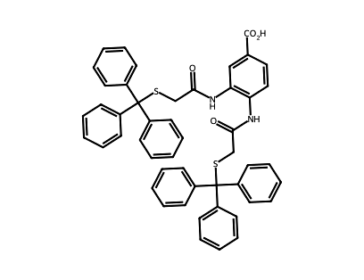 O=C(CSC(c1ccccc1)(c1ccccc1)c1ccccc1)Nc1ccc(C(=O)O)cc1NC(=O)CSC(c1ccccc1)(c1ccccc1)c1ccccc1